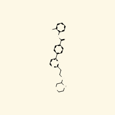 Nc1ccccc1NC(=O)c1ccc(-c2ccnc(CCNC3COCCN3)n2)cc1